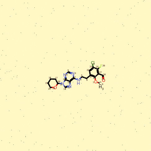 COc1c(CCNc2ncnc3c2ncn3C2CCCCO2)cc(Cl)c(F)c1C=O